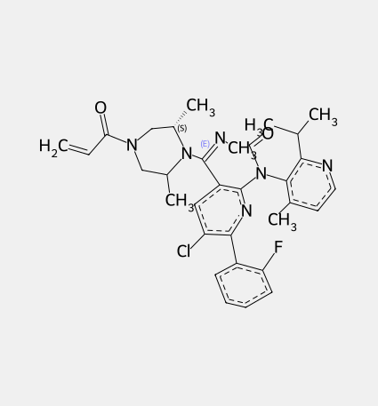 C=CC(=O)N1CC(C)N(/C(=N/C)c2cc(Cl)c(-c3ccccc3F)nc2N(C=O)c2c(C)ccnc2C(C)C)[C@@H](C)C1